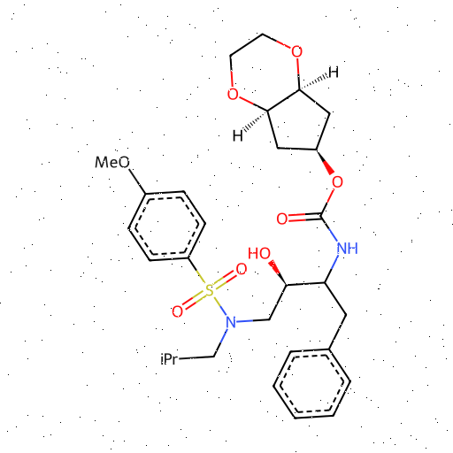 COc1ccc(S(=O)(=O)N(CC(C)C)C[C@@H](O)C(Cc2ccccc2)NC(=O)O[C@@H]2C[C@@H]3OCCO[C@@H]3C2)cc1